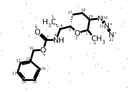 CC1O[C@H]([C@@H](C)NC(=O)OCc2ccccc2)CCC1N=[N+]=[N-]